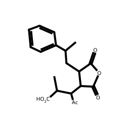 CC(=O)C(C(C)C(=O)O)C1C(=O)OC(=O)C1CC(C)c1ccccc1